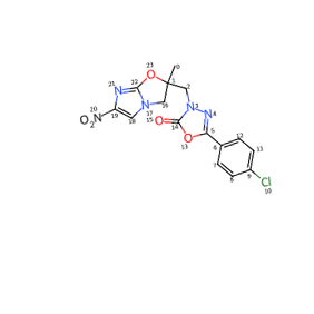 CC1(Cn2nc(-c3ccc(Cl)cc3)oc2=O)Cn2cc([N+](=O)[O-])nc2O1